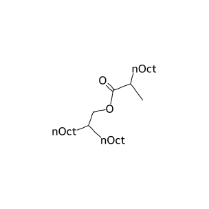 CCCCCCCCC(CCCCCCCC)COC(=O)C(C)CCCCCCCC